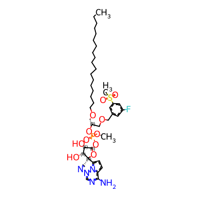 CCCCCCCCCCCCCCCCCCOC[C@H](COCc1cc(F)cc(S(C)(=O)=O)c1)OP(=O)(OC)O[C@H]1O[C@@](C#N)(c2ccc3c(N)ncnn23)[C@H](O)[C@@H]1O